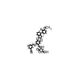 COc1cccc(-c2cccc3c2CC[C@@H]3Oc2cc(OCc3cncc(C#N)c3)c(CN[C@@H](CCO)C(=O)O)cc2Cl)c1F